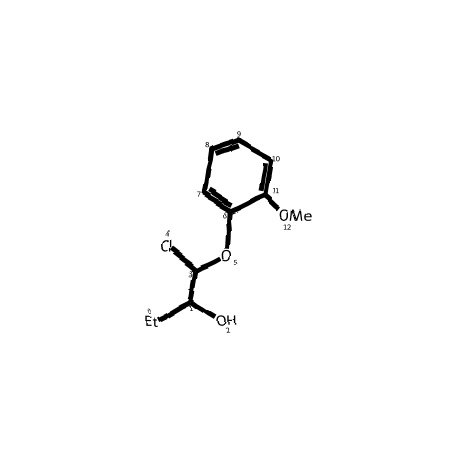 CCC(O)C(Cl)Oc1ccccc1OC